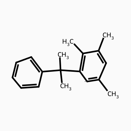 Cc1[c]c(C(C)(C)c2ccccc2)c(C)c(C)c1